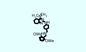 COc1cccc(OC)c1CNCC1CCC(Nc2nc3c(c(N(C)C)n2)CCCC3)CC1